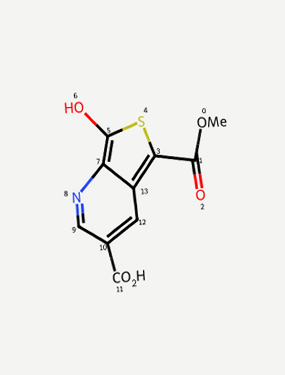 COC(=O)c1sc(O)c2ncc(C(=O)O)cc12